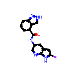 O=C(Nc1cnc2[nH]c(I)cc2c1)c1cccc2n[nH]cc12